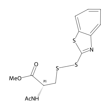 COC(=O)[C@H](CSSc1nc2ccccc2s1)NC(C)=O